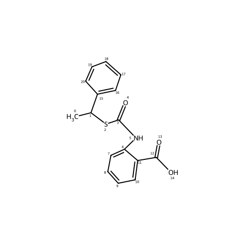 CC(SC(=O)Nc1ccccc1C(=O)O)c1ccccc1